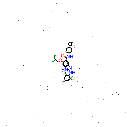 O=C(N[C@H]1CC[C@H](C(F)(F)F)CC1)c1cc2nc(Nc3c(Cl)cc(F)cc3Cl)[nH]c2cc1OCC(F)F